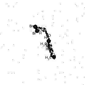 C[C@H](CC(=O)N1CCC(O)(Cn2cnc3c(-c4ccc(CNC(=O)CCCCN5CCN(C[C@@H](O)Cn6c7ccc(Br)cc7c7cc(Br)ccc76)CC5)cc4)n(C)nc3c2=O)CC1)c1ccccc1